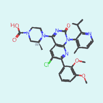 COc1cccc(-c2nc3c(cc2Cl)c(N2CCN(C(=O)O)C[C@@H]2C)nc(=O)n3-c2c(C)ccnc2C(C)C)c1OC